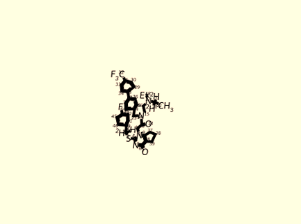 [2H]C([2H])(Sc1nc(=O)c2c(n1CC(=O)N(CCN(CC)C([2H])([2H])C)Cc1ccc(-c3ccc(C(F)(F)F)cc3)cc1)CCC2)c1ccc(F)cc1